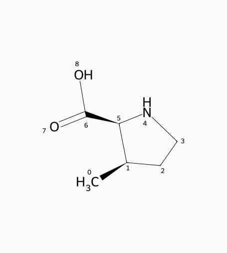 C[C@@H]1CCN[C@@H]1C(=O)O